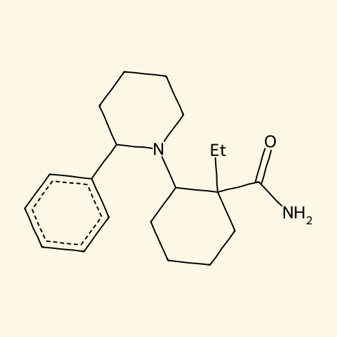 CCC1(C(N)=O)CCCCC1N1CCCCC1c1ccccc1